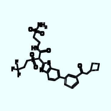 NS(=O)(=O)CCNC(=O)C(c1nc2ccc(-c3cccc(C(=O)CC4CCC4)c3)cc2s1)S(=O)(=O)CCC(F)(F)F